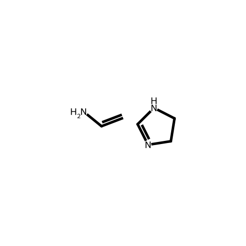 C1=NCCN1.C=CN